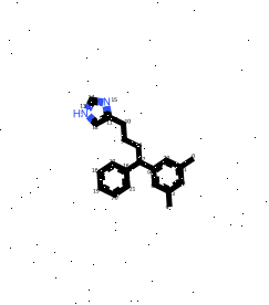 Cc1cc(C)cc(C(CCCc2c[nH]cn2)c2ccccc2)c1